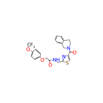 O=C(COc1ccc(OC(F)(F)F)cc1)NCc1nc(C(=O)N2CCc3ccccc3C2)cs1